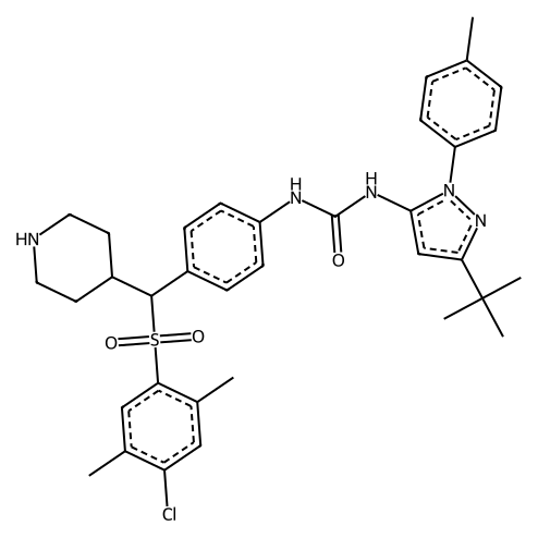 Cc1ccc(-n2nc(C(C)(C)C)cc2NC(=O)Nc2ccc(C(C3CCNCC3)S(=O)(=O)c3cc(C)c(Cl)cc3C)cc2)cc1